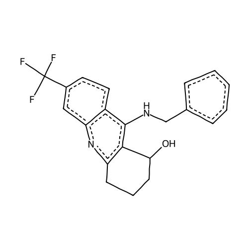 OC1CCCc2nc3cc(C(F)(F)F)ccc3c(NCc3ccccc3)c21